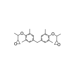 Cc1cc(Cc2cc(C)c(OC(C)C3CO3)c(C)c2)cc(C)c1OC(C)C1CO1